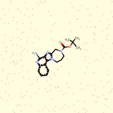 CC(C)(C)OC(=O)N1CCCn2c(nc3c(N)nc4ccccc4c32)C1